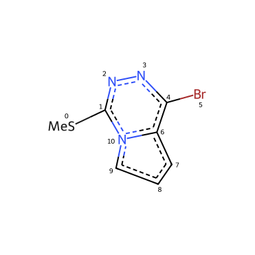 CSc1nnc(Br)c2cccn12